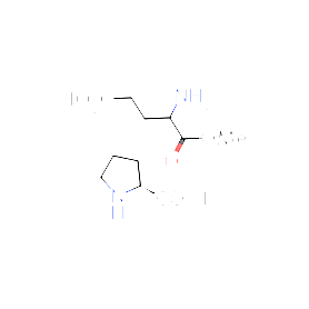 COC(=O)C(N)CCC(=O)O.O=C(O)[C@@H]1CCCN1